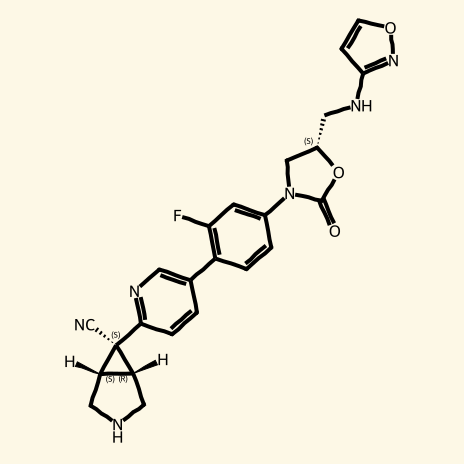 N#C[C@]1(c2ccc(-c3ccc(N4C[C@H](CNc5ccon5)OC4=O)cc3F)cn2)[C@@H]2CNC[C@@H]21